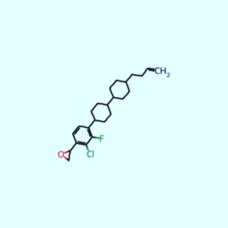 C=CCCC1CCC(C2CCC(c3ccc(C4CO4)c(Cl)c3F)CC2)CC1